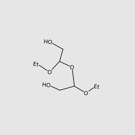 CCOC(CO)OC(CO)OCC